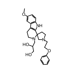 COc1ccc2[nH]c3c(c2c1)CCN(CC(O)CO)C31CCN(CCOc2ccccc2)C1